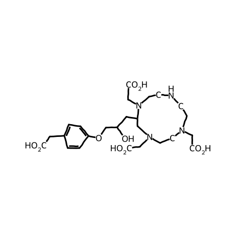 O=C(O)Cc1ccc(OCC(O)CC2CN(CC(=O)O)CCN(CC(=O)O)CCNCCN2CC(=O)O)cc1